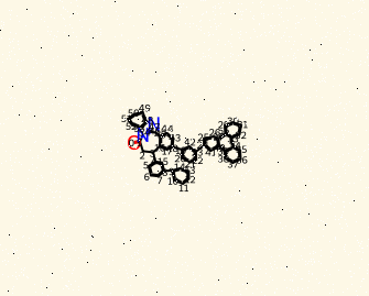 O=C1CC(c2cccc(-c3ccccc3)c2)c2cc(-c3cccc(-c4ccc5c6ccccc6c6ccccc6c5c4)c3)ccc2-c2nc3ccccc3n21